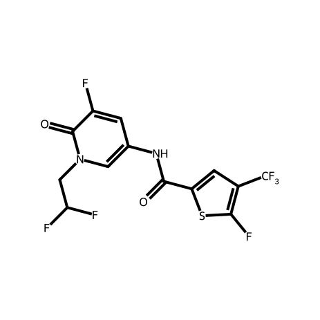 O=C(Nc1cc(F)c(=O)n(CC(F)F)c1)c1cc(C(F)(F)F)c(F)s1